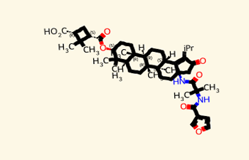 CC(C)C1=C2[C@H]3CC[C@@H]4[C@@]5(C)CC[C@H](OC(=O)[C@H]6C[C@@H](C(=O)O)C6(C)C)C(C)(C)[C@@H]5CC[C@@]4(C)[C@]3(C)CC[C@@]2(NC(=O)C(C)(C)NC(=O)c2ccoc2)CC1=O